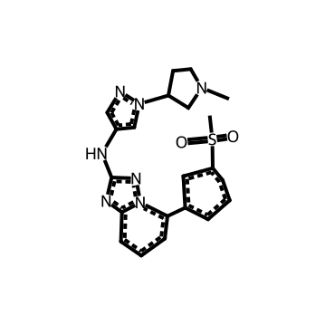 CN1CCC(n2cc(Nc3nc4cccc(-c5cccc(S(C)(=O)=O)c5)n4n3)cn2)C1